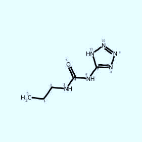 CCCNC(=O)Nc1nnn[nH]1